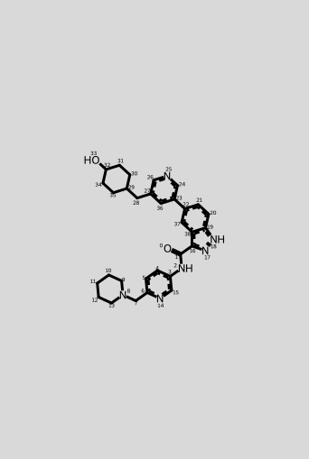 O=C(Nc1ccc(CN2CCCCC2)nc1)c1n[nH]c2ccc(-c3cncc(CC4CCC(O)CC4)c3)cc12